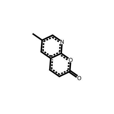 Cc1cnc2oc(=O)ccc2c1